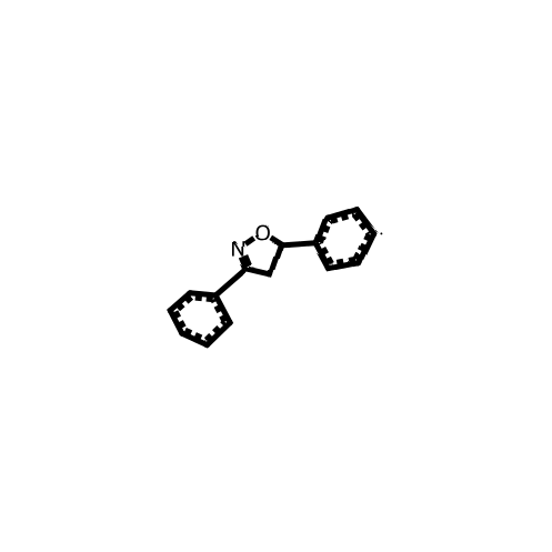 [c]1ccc(C2CC(c3ccccc3)=NO2)cc1